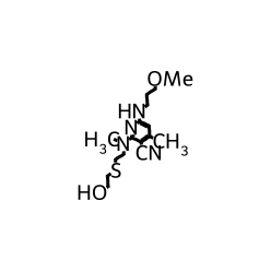 COCCCNc1cc(C)c(C#N)c(N(C)CCSCCO)n1